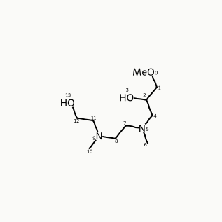 COCC(O)CN(C)CCN(C)CCO